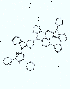 c1ccc(-c2ccc(N(c3ccc4c(c3)c3ccccc3n4-c3nc(-c4ccccc4)nc(-c4ccccc4)n3)c3ccccc3-c3ccc4c5ccccc5n(-c5ccccc5)c4c3)cc2)cc1